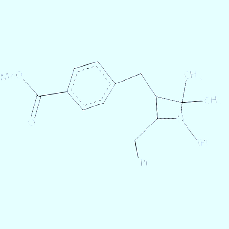 COC(=O)c1ccc(CC2C(CC(C)C)N(C(C)C)C2(C)C)cc1